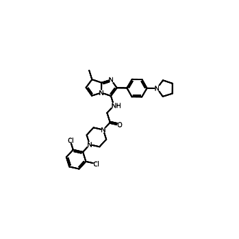 CC1C=Cn2c1nc(-c1ccc(N3CCCC3)cc1)c2NCC(=O)N1CCN(c2c(Cl)cccc2Cl)CC1